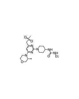 CCNC(=O)NC1CCN(c2nc(CS(C)(=O)=O)cc(N3CCOC[C@@H]3C)n2)CC1